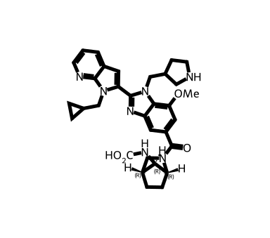 COc1cc(C(=O)N2C[C@H]3CC[C@@H]2[C@@H]3NC(=O)O)cc2nc(-c3cc4cccnc4n3CC3CC3)n(CC3CCNC3)c12